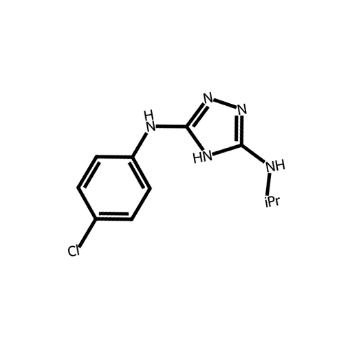 CC(C)Nc1nnc(Nc2ccc(Cl)cc2)[nH]1